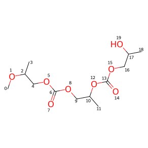 COC(C)COC(=O)OCC(C)OC(=O)OCC(C)O